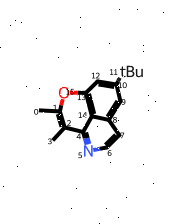 CC1=C(C)c2nccc3cc(C(C)(C)C)cc(c23)O1